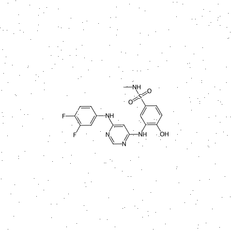 CNS(=O)(=O)c1ccc(O)c(Nc2cc(Nc3ccc(F)c(F)c3)ncn2)c1